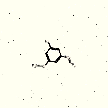 CCc1cc(OC(F)(F)F)cc(OC(F)(F)F)c1